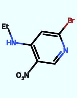 CCNc1cc(Br)ncc1[N+](=O)[O-]